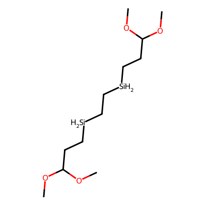 COC(CC[SiH2]CC[SiH2]CCC(OC)OC)OC